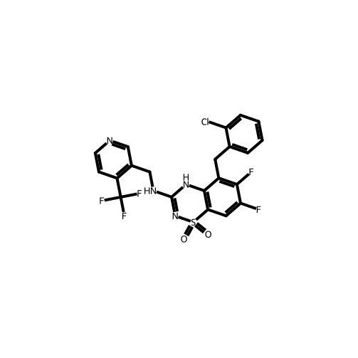 O=S1(=O)N=C(NCc2cnccc2C(F)(F)F)Nc2c1cc(F)c(F)c2Cc1ccccc1Cl